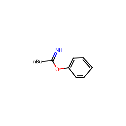 CCCCC(=N)Oc1ccccc1